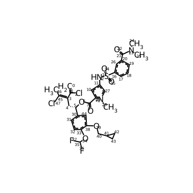 C=C(Cl)/C(C[C@H](OC(=O)c1cc(NS(=O)(=O)c2cccc(C(=O)N(C)C)c2)cn1C)c1ccc(OC(F)F)c(OCC2CC2)c1)=C(\C)Cl